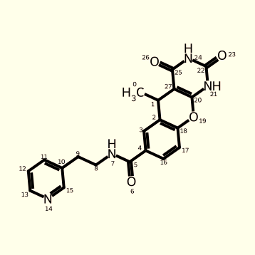 CC1c2cc(C(=O)NCCc3cccnc3)ccc2Oc2[nH]c(=O)[nH]c(=O)c21